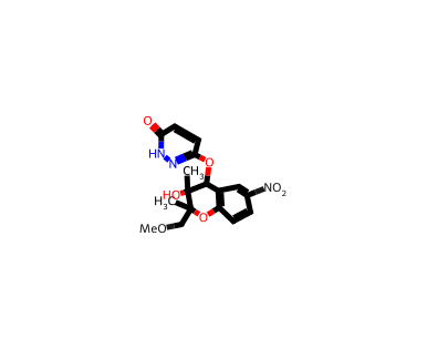 COCC1(C)Oc2ccc([N+](=O)[O-])cc2C(Oc2ccc(=O)[nH]n2)C1(C)O